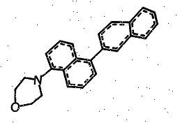 c1ccc2cc(-c3cccc4c(N5CCOCC5)cccc34)ccc2c1